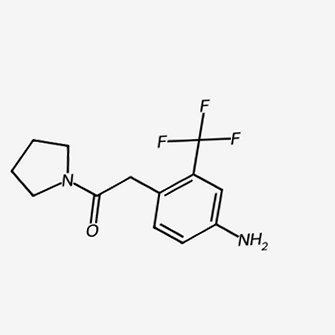 Nc1ccc(CC(=O)N2CCCC2)c(C(F)(F)F)c1